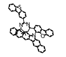 CC1(C)CC(c2ccc3c(oc4ccccc43)c2-n2c3cc4ccccc4cc3c3cc4ccccc4cc32)=NC(c2ccc3sc4ccccc4c3c2)=NC1c1ccccc1